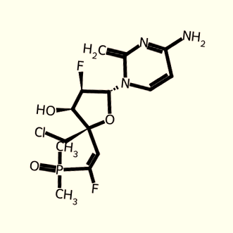 C=C1N=C(N)C=CN1[C@@H]1O[C@@](/C=C(/F)P(C)(C)=O)(CCl)[C@@H](O)[C@H]1F